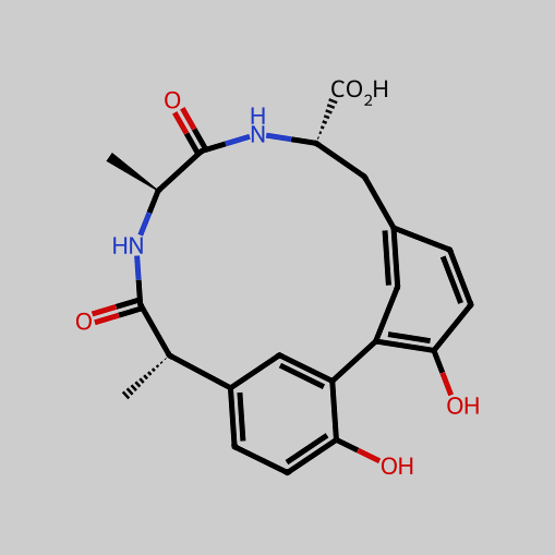 C[C@@H]1NC(=O)[C@@H](C)c2ccc(O)c(c2)-c2cc(ccc2O)C[C@@H](C(=O)O)NC1=O